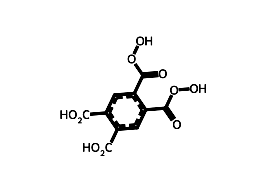 O=C(O)c1cc(C(=O)OO)c(C(=O)OO)cc1C(=O)O